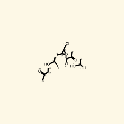 CC(=O)CCl.CC(O)Cl.CC(O)Cl.CC1OC1Cl.CCC(C)=O